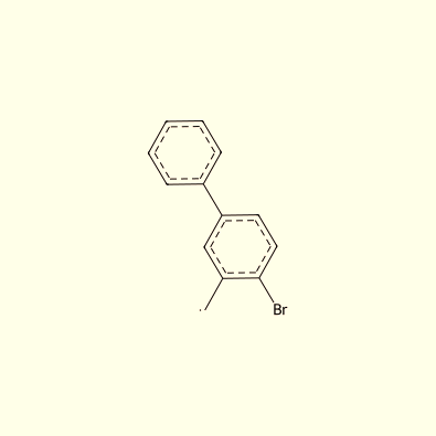 [CH2]c1cc(-c2ccccc2)ccc1Br